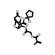 C=C(C)C(=O)OCC(=O)OC1C2OC(=O)C3C2OC1C3C(=O)OC1(CC)CCCC1